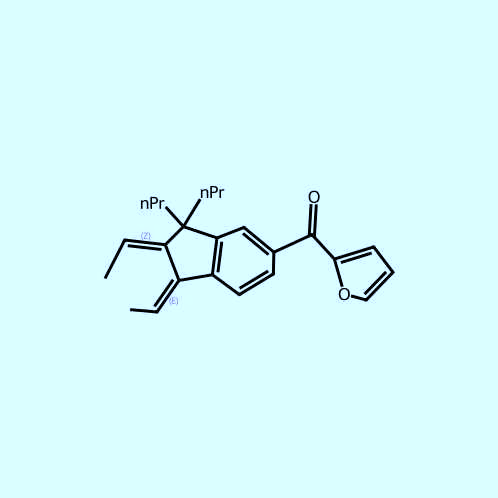 C/C=C1\C(=C/C)c2ccc(C(=O)c3ccco3)cc2C1(CCC)CCC